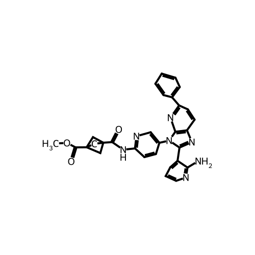 COC(=O)C12CC(C(=O)Nc3ccc(-n4c(-c5cccnc5N)nc5ccc(-c6ccccc6)nc54)cn3)(C1)C2